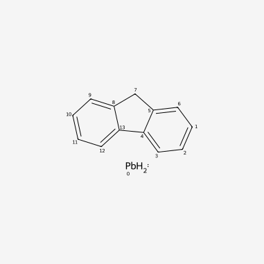 [PbH2].c1ccc2c(c1)Cc1ccccc1-2